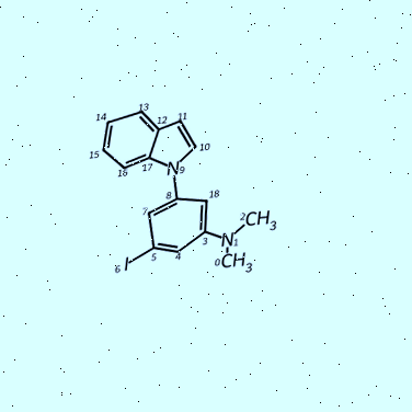 CN(C)c1cc(I)cc(-n2ccc3ccccc32)c1